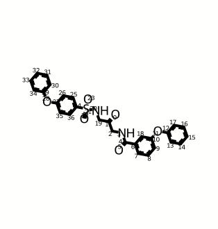 O=C(CNC(=O)c1cccc(Oc2ccccc2)c1)CNS(=O)(=O)c1ccc(Oc2ccccc2)cc1